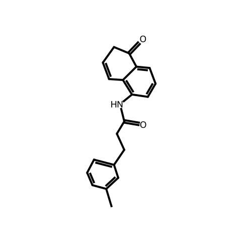 Cc1cccc(CCC(=O)Nc2cccc3c2C=CCC3=O)c1